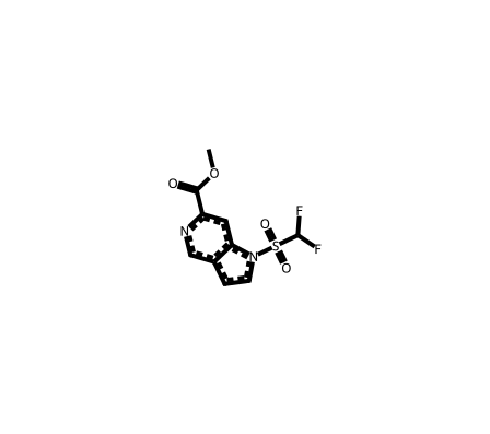 COC(=O)c1cc2c(ccn2S(=O)(=O)C(F)F)cn1